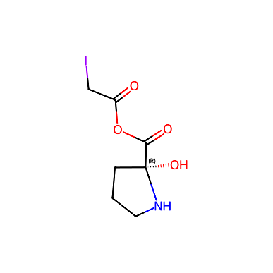 O=C(CI)OC(=O)[C@]1(O)CCCN1